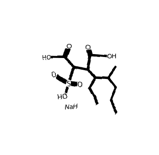 CCCC(C)C(CC)C(C(=O)O)C(C(=O)O)S(=O)(=O)O.[NaH]